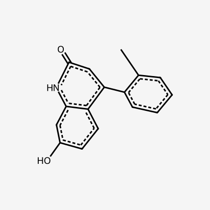 Cc1ccccc1-c1cc(=O)[nH]c2cc(O)ccc12